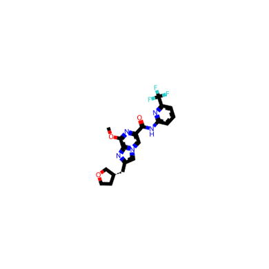 COc1nc(C(=O)Nc2cccc(C(F)(F)F)n2)cn2cc(C[C@@H]3CCOC3)nc12